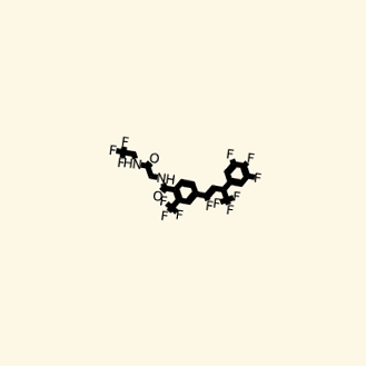 O=C(CNC(=O)c1ccc(/C(F)=C/C(c2cc(F)c(F)c(F)c2)C(F)(F)F)cc1C(F)(F)F)NCC(F)(F)F